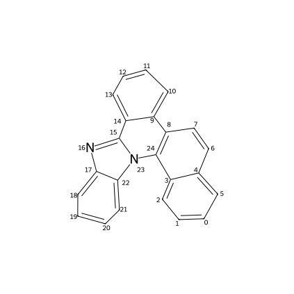 c1ccc2c(c1)ccc1c3ccccc3c3nc4ccccc4n3c21